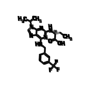 CC[C@@H](Nc1nc(NCc2cccc(C(F)(F)F)c2)c2ncn(C(C)C)c2n1)C(=O)O